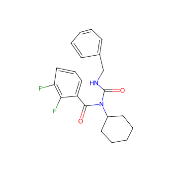 O=C(NCc1ccccc1)N(C(=O)c1cccc(F)c1F)C1CCCCC1